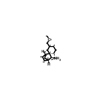 COCC1CCC[C@@]2(C1)[C@H]1CC[C@H](C1)[C@@H]2N